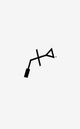 C#CCC(C)(C)C1[CH]C1